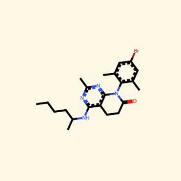 CCCCC(C)Nc1nc(C)nc2c1CCC(=O)N2c1c(C)cc(Br)cc1C